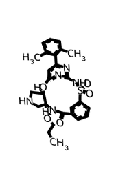 CCCON1C(=O)c2cccc(c2)S(=O)(=O)Nc2nc(cc(-c3c(C)cccc3C)n2)O[C@@H]2CNC[C@H]21